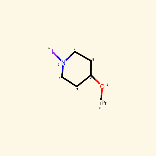 CC(C)OC1CCN(I)CC1